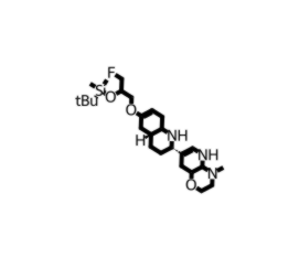 CN1CCOC2CC([C@@H]3CC[C@@H]4CC(OCC(CF)O[Si](C)(C)C(C)(C)C)=CCC4N3)=CNC21